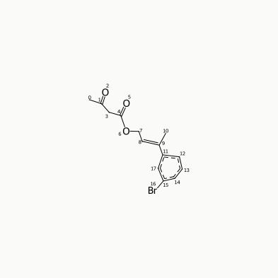 CC(=O)CC(=O)OCC=C(C)c1cccc(Br)c1